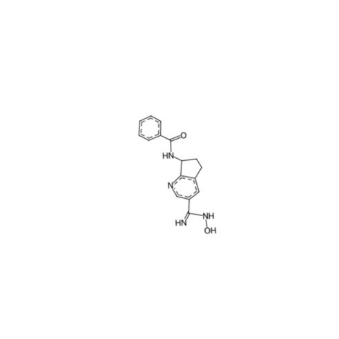 N=C(NO)c1cnc2c(c1)CCC2NC(=O)c1ccccc1